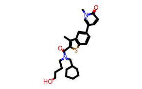 Cc1c(C(=O)N(CCCCO)CC2CCCCC2)sc2ccc(-c3ccc(=O)n(C)c3)cc12